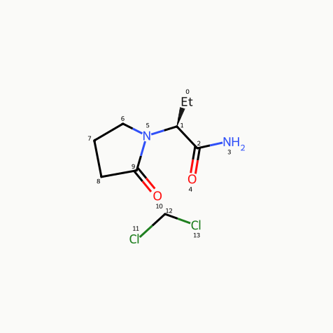 CC[C@@H](C(N)=O)N1CCCC1=O.ClCCl